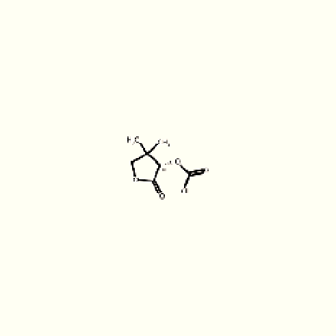 CC1(C)COC(=O)[C@H]1OC(=O)Cl